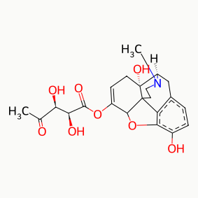 CC(=O)[C@@H](O)[C@H](O)C(=O)OC1=CC[C@@]2(O)[C@H]3Cc4ccc(O)c5c4C2(CCN3C)C1O5